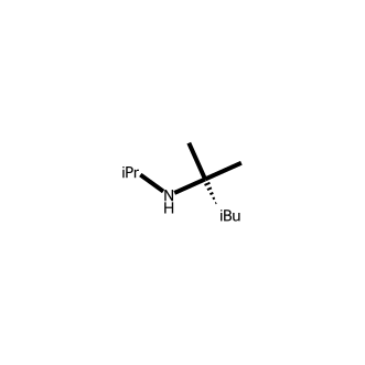 CC[C@@H](C)C(C)(C)NC(C)C